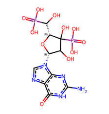 Nc1nc2c(ncn2[C@@H]2O[C@H](C(O)P(=O)(O)O)C(O)(P(=O)(O)O)C2O)c(=O)[nH]1